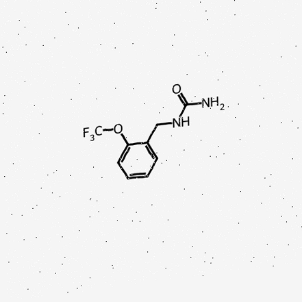 NC(=O)NCc1ccccc1OC(F)(F)F